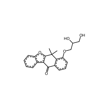 CC1(C)c2oc3ccccc3c2C(=O)c2cccc(OCC(O)CO)c21